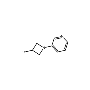 CCC1CN(c2cccnc2)C1